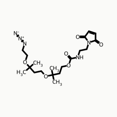 CC(C)(CCOC(=O)NCCN1C(=O)C=CC1=O)OCCC(C)(C)OCCN=[N+]=[N-]